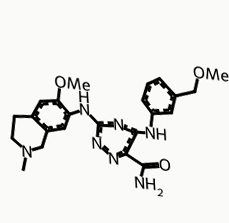 COCc1cccc(Nc2nc(Nc3cc4c(cc3OC)CCN(C)C4)nnc2C(N)=O)c1